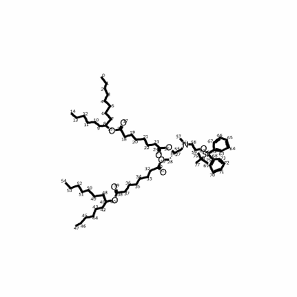 CCCCCCCCC(CCCCCC)OC(=O)CCCCCCC(=O)O[C@@H](COC(=O)CCCCCCC(=O)OC(CCCCCC)CCCCCCC)CN(C)CCO[Si](c1ccccc1)(c1ccccc1)C(C)(C)C